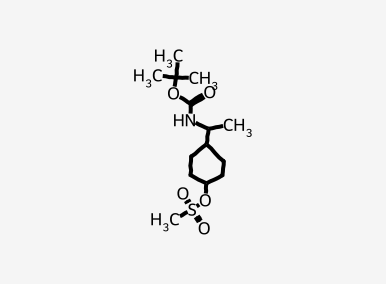 CC(NC(=O)OC(C)(C)C)C1CCC(OS(C)(=O)=O)CC1